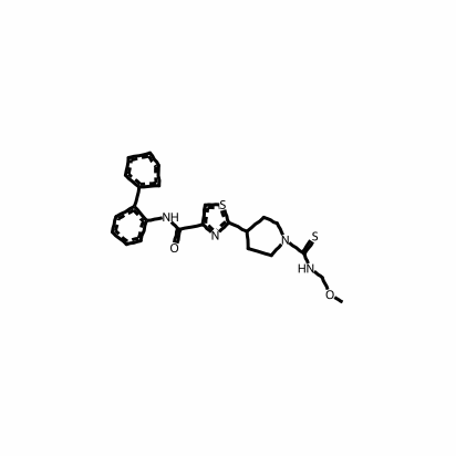 COCNC(=S)N1CCC(c2nc(C(=O)Nc3ccccc3-c3ccccc3)cs2)CC1